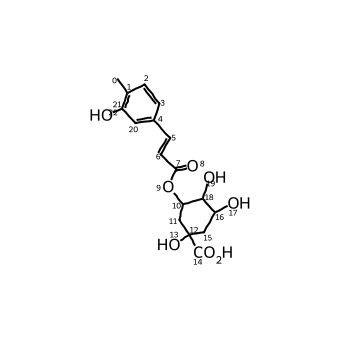 Cc1ccc(/C=C/C(=O)OC2CC(O)(C(=O)O)CC(O)C2O)cc1O